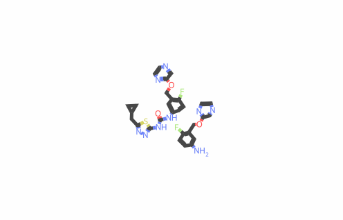 Nc1ccc(F)c(COc2cnccn2)c1.O=C(Nc1ccc(F)c(COc2cnccn2)c1)Nc1nnc(CC2CC2)s1